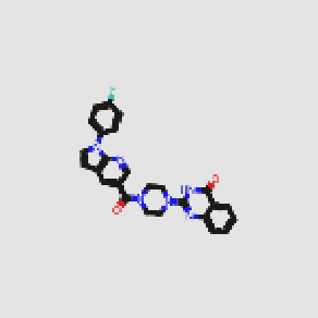 O=C(c1cnc2c(ccn2-c2ccc(F)cc2)c1)N1CCN(c2nc3ccccc3c(=O)[nH]2)CC1